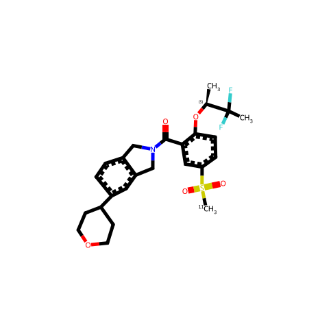 C[C@H](Oc1ccc(S([11CH3])(=O)=O)cc1C(=O)N1Cc2ccc(C3CCOCC3)cc2C1)C(C)(F)F